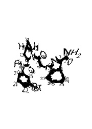 NC(=O)c1nn(CC(=O)N2[C@@H]3C[C@@H]3C[C@H]2C(=O)N(F)c2cccc(Br)c2)c2ccccc12